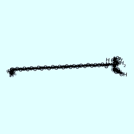 CCCN(CCC)C(=O)C1=Cc2c(CCCCNC(=O)CCOCCOCCOCCOCCOCCOCCOCCOCCOCCOCCOCCOCCOCCOCCOCCOCCOCCOCCOCCOCCOCCOCCOCCOCCOCCC(=O)Oc3c(F)c(F)cc(F)c3F)cc(-c3cccc(S(=O)(=O)N4CC(CO)C4)c3)cc2N=C(N)C1